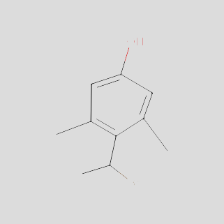 Cc1cc(O)cc(C)c1C(C)Br